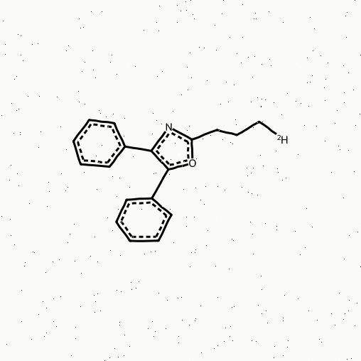 [2H]CCCc1nc(-c2ccccc2)c(-c2ccccc2)o1